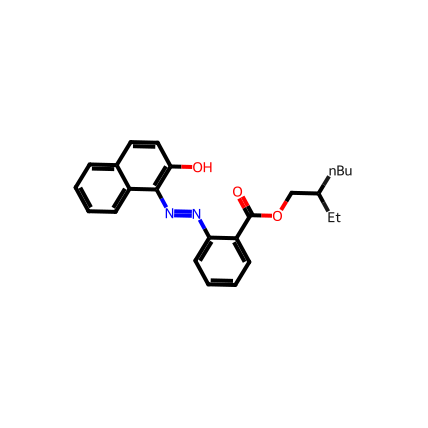 CCCCC(CC)COC(=O)c1ccccc1/N=N/c1c(O)ccc2ccccc12